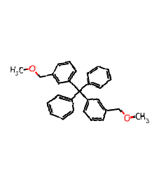 COCc1cccc(C(c2ccccc2)(c2ccccc2)c2cccc(COC)c2)c1